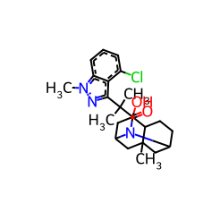 Cn1nc(C(C)(C)C(=O)N2C3CCC4C(O)CC2CC4(C)C3)c2c(Cl)cccc21